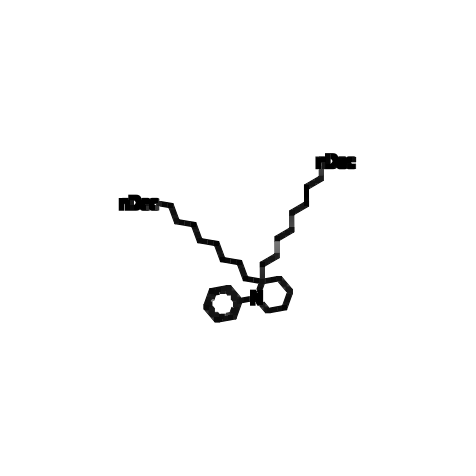 CCCCCCCCCCCCCCCCCCC1(CCCCCCCCCCCCCCCCCC)CCCCN1c1ccccc1